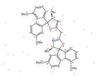 COc1cccc(C2(c3cccc(OC)c3)OC(CC3=N[C@H](C(C)(C)C)C(c4cccc(OC)c4)(c4cccc(OC)c4)O3)=N[C@@H]2C(C)(C)C)c1